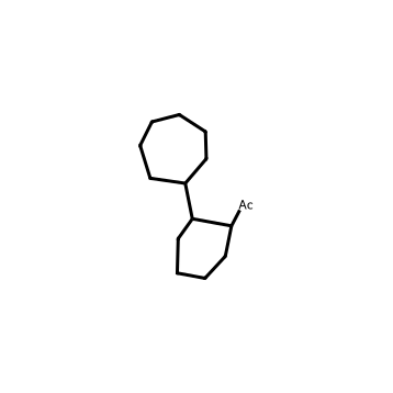 CC(=O)C1CCCCC1C1CCCCCC1